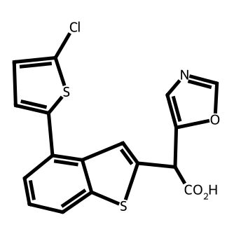 O=C(O)C(c1cnco1)c1cc2c(-c3ccc(Cl)s3)cccc2s1